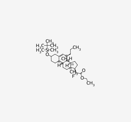 CCC[C@@H]1C=C2CC(O[Si](C)(C)C(C)(C)C)CC[C@]2(C)[C@H]2CC[C@]3(C)C(=C(F)C(=O)OCC)CC[C@H]3[C@H]12